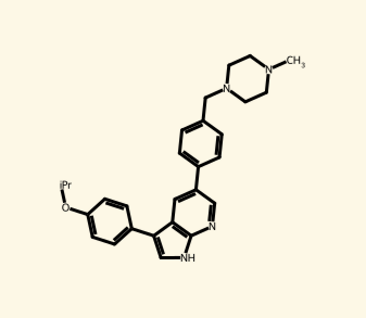 CC(C)Oc1ccc(-c2c[nH]c3ncc(-c4ccc(CN5CCN(C)CC5)cc4)cc23)cc1